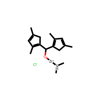 CC1=CC(C)=C(C([O][Zr+][SiH](C)C)C2=C(C)C=C(C)C2)C1.[Cl-]